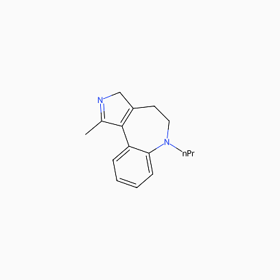 CCCN1CCC2=C(C(C)=NC2)c2ccccc21